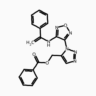 C=C(Nc1nonc1-n1nncc1COC(=O)c1ccccc1)c1ccccc1